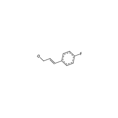 [O]CC=Cc1ccc(F)cc1